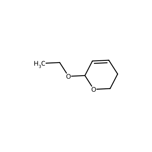 CCOC1C=CCCO1